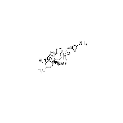 CNC1C[C@]2(C)[C@@H](C(=O)Cn3cc(N)cn3)CC[C@H]2[C@]2(N)CC[C@]3(N)C[C@@H](C)CC[C@]3(N)[C@@H]12